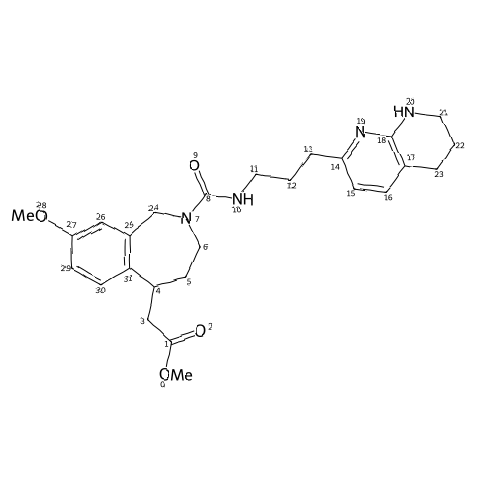 COC(=O)CC1CCN(C(=O)NCCCc2ccc3c(n2)NCCC3)Cc2cc(OC)ccc21